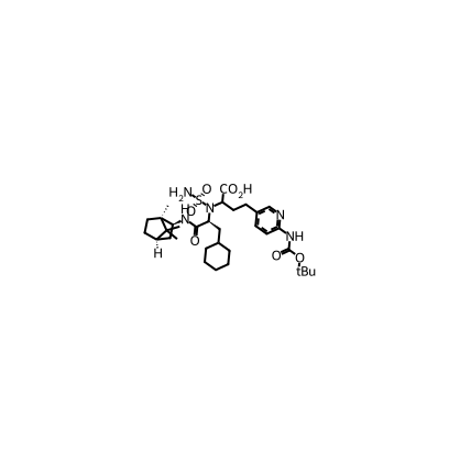 CC(C)(C)OC(=O)Nc1ccc(CCC(C(=O)O)N([C@@H](CC2CCCCC2)C(=O)N[C@H]2C[C@H]3CC[C@]2(C)C3(C)C)S(N)(=O)=O)cn1